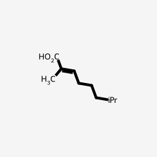 CC(=CCCCC(C)C)C(=O)O